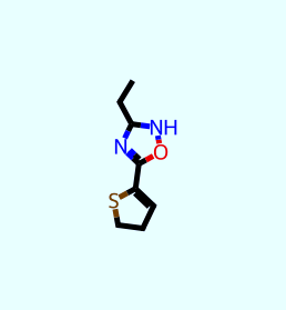 CCC1N=C(C2=CCCS2)ON1